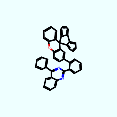 c1ccc(-c2nc(-c3ccccc3-c3ccc4c(c3)C3(c5ccccc5O4)c4ccccc4-c4ccccc43)nc3ccccc23)cc1